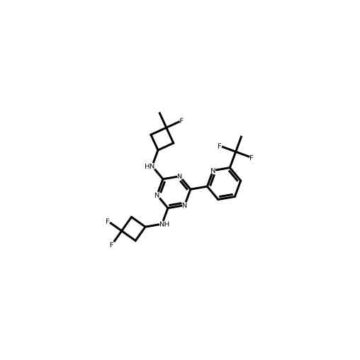 CC1(F)CC(Nc2nc(NC3CC(F)(F)C3)nc(-c3cccc(C(C)(F)F)n3)n2)C1